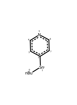 CCC[CH2][Sn][c]1ccncc1